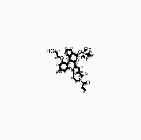 C=CC(=O)N1CCn2nc(-c3nc(OS(=O)(=O)C(F)(F)F)c4ccsc4c3-c3c(F)cc(F)cc3OCCO)cc2[C@@H]1C